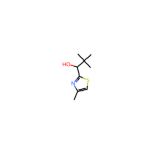 Cc1csc(C(O)C(C)(C)C)n1